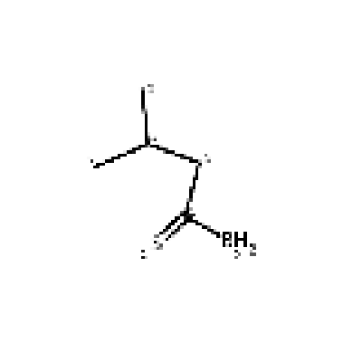 BC(=S)CC(C)C